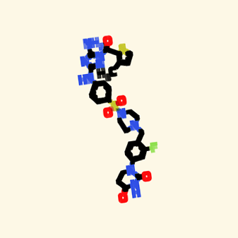 Cc1ccsc1C(=O)n1nc(Nc2ccc(S(=O)(=O)N3CCN(Cc4ccc(N5CCC(=O)NC5=O)cc4F)CC3)cc2)nc1N